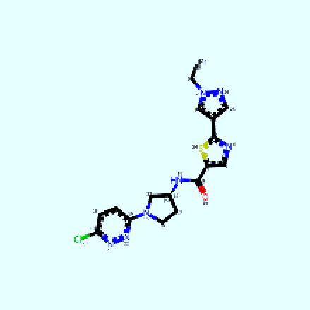 CC(C)Cn1cc(-c2ncc(C(=O)N[C@H]3CCN(c4ccc(Cl)nn4)C3)s2)cn1